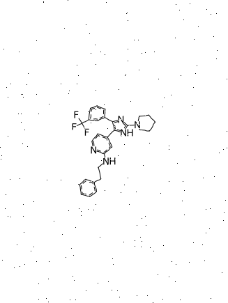 FC(F)(F)c1cccc(-c2nc(N3CCCCC3)[nH]c2-c2ccnc(NCCc3ccccc3)c2)c1